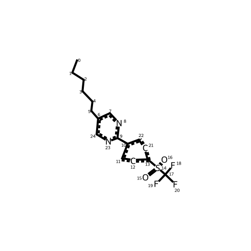 CCCCCCc1cnc(-c2ccc(S(=O)(=O)C(F)(F)F)cc2)nc1